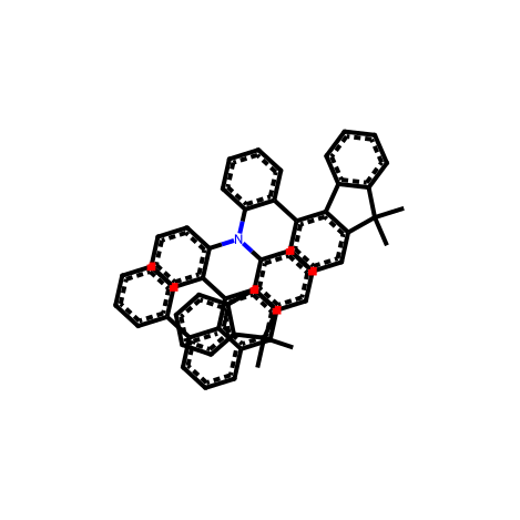 CC1(C)c2ccccc2-c2c(-c3ccccc3N(c3ccccc3-c3cccc4cccc(-c5ccccc5)c34)c3cccc4c3-c3ccccc3C4(C)C)cccc21